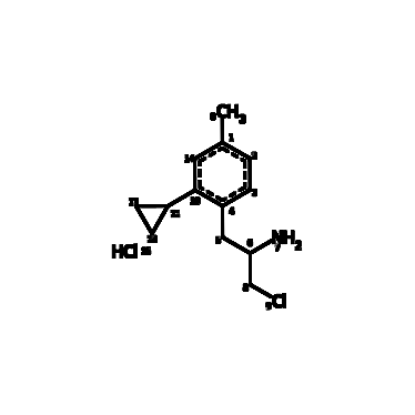 Cc1ccc(CC(N)CCl)c(C2CC2)c1.Cl